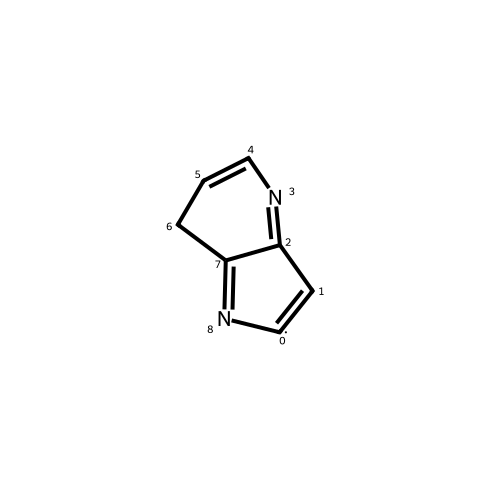 [C]1=CC2=NC=CCC2=N1